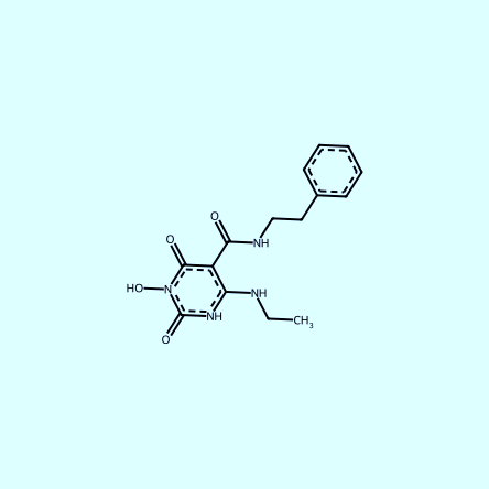 CCNc1[nH]c(=O)n(O)c(=O)c1C(=O)NCCc1ccccc1